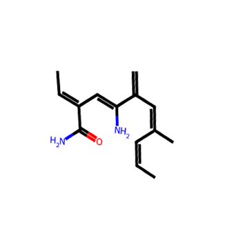 C=C(/C=C(C)\C=C/C)/C(N)=C/C(=C\C)C(N)=O